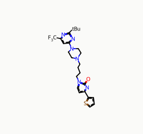 CC(C)(C)c1nc(N2CCN(CCCCn3ccc(-c4cccs4)nc3=O)CC2)cc(C(F)(F)F)n1